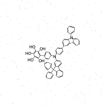 Oc1c(O)c(O)c(-c2ccc(N(c3ccc(-c4ccc5c(c4)c4ccccc4n5-c4ccccc4)cc3)c3ccc4c(c3)C(c3ccccc3)(c3ccccc3)c3ccccc3-4)cc2)c(O)c1O